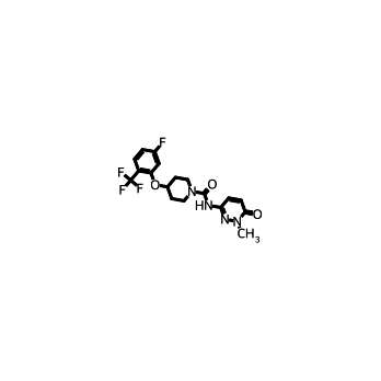 Cn1nc(NC(=O)N2CCC(Oc3cc(F)ccc3C(F)(F)F)CC2)ccc1=O